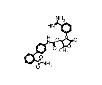 CC1OC(=O)N(c2cccc(C(=N)N)c2)C1OC(=O)Nc1ccc(-c2ccccc2S(N)(=O)=O)cc1